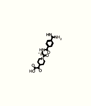 C[C@H](NC(=O)c1ccc(C(=N)N)cc1)C(=O)N1CCC(C(=O)C(=O)O)CC1